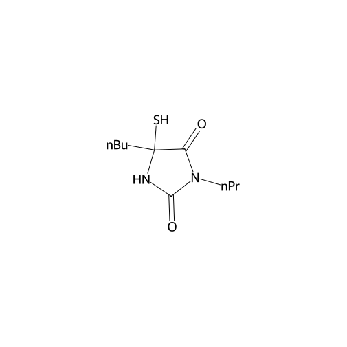 CCCCC1(S)NC(=O)N(CCC)C1=O